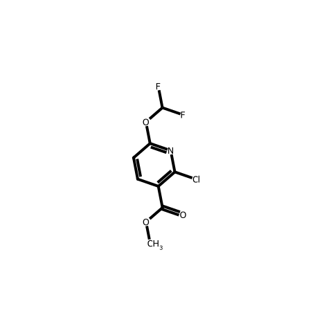 COC(=O)c1ccc(OC(F)F)nc1Cl